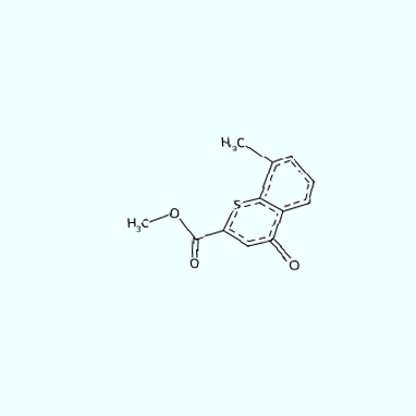 COC(=O)c1cc(=O)c2cccc(C)c2s1